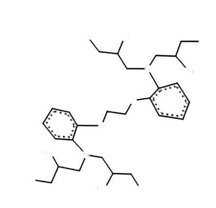 OC(CCl)CN(CC(O)CCl)c1ccccc1OCCOc1ccccc1N(CC(O)CCl)CC(O)CCl